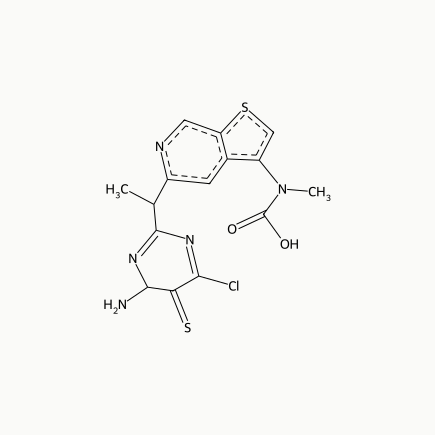 CC(C1=NC(N)C(=S)C(Cl)=N1)c1cc2c(N(C)C(=O)O)csc2cn1